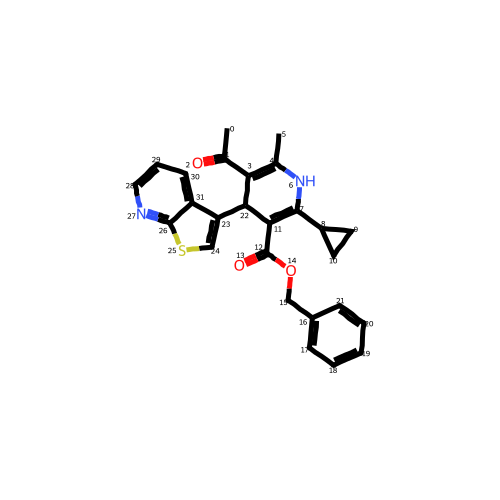 CC(=O)C1=C(C)NC(C2CC2)=C(C(=O)OCc2ccccc2)C1c1csc2ncccc12